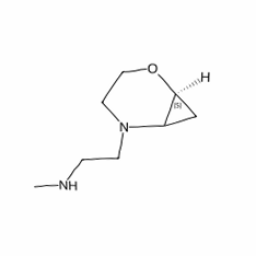 CNCCN1CCO[C@H]2CC21